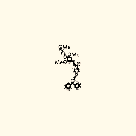 COCCOCOc1c(OC)cc(C=CC(=O)N2CCN(CCCOC(c3ccccc3)c3ccccc3)CC2)cc1OC